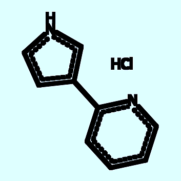 Cl.c1ccc(-c2cc[nH]c2)nc1